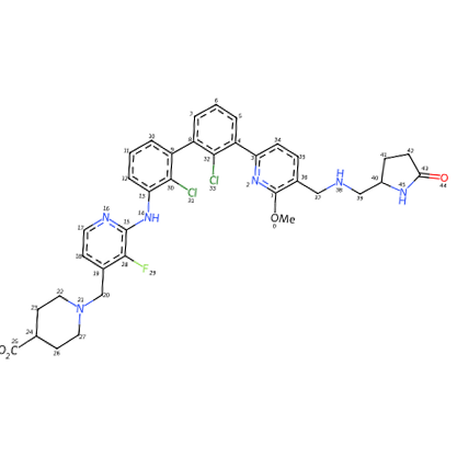 COc1nc(-c2cccc(-c3cccc(Nc4nccc(CN5CCC(C(=O)O)CC5)c4F)c3Cl)c2Cl)ccc1CNCC1CCC(=O)N1